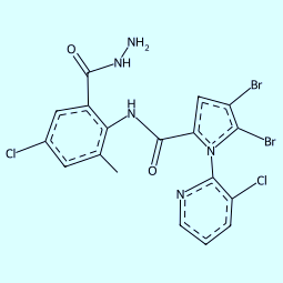 Cc1cc(Cl)cc(C(=O)NN)c1NC(=O)c1cc(Br)c(Br)n1-c1ncccc1Cl